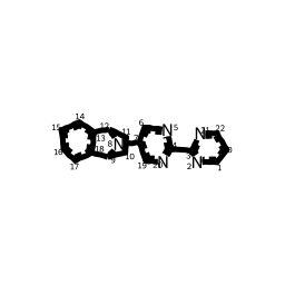 c1cnc(-c2ncc(N3C4CCC3c3ccccc34)cn2)nc1